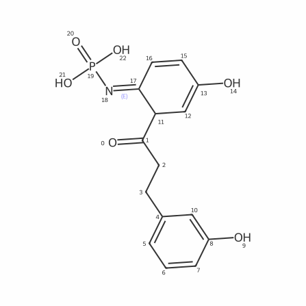 O=C(CCc1cccc(O)c1)C1C=C(O)C=C/C1=N\P(=O)(O)O